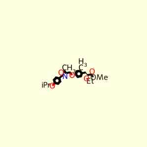 CCO[C@@H](Cc1ccc(OCc2nc(-c3ccc(OC(C)C)cc3)oc2C)cc1C)C(=O)OC